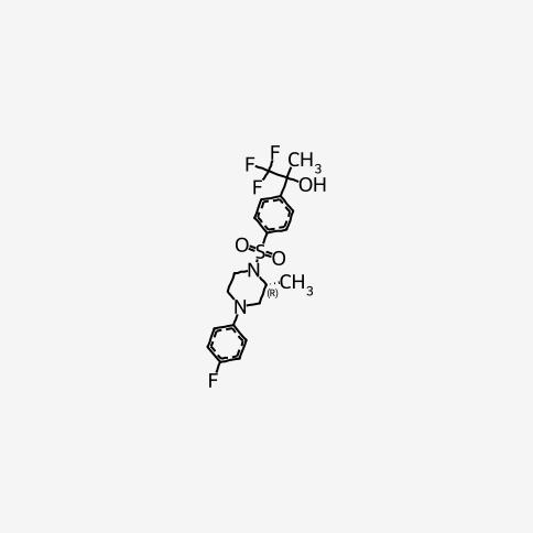 C[C@@H]1CN(c2ccc(F)cc2)CCN1S(=O)(=O)c1ccc(C(C)(O)C(F)(F)F)cc1